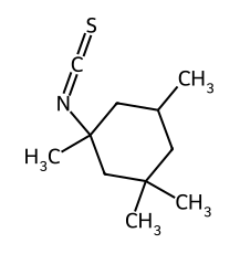 CC1CC(C)(C)CC(C)(N=C=S)C1